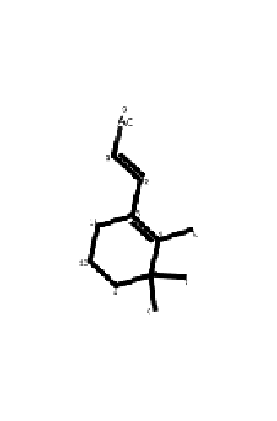 CC(=O)/C=C/C1=C(C)C(C)(C)CCC1